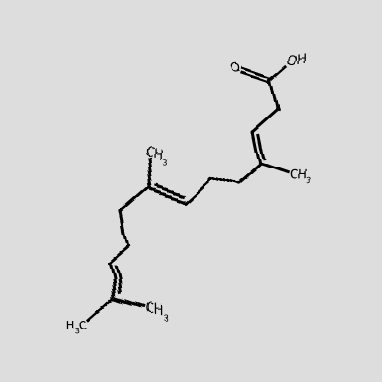 CC(C)=CCCC(C)=CCCC(C)=CCC(=O)O